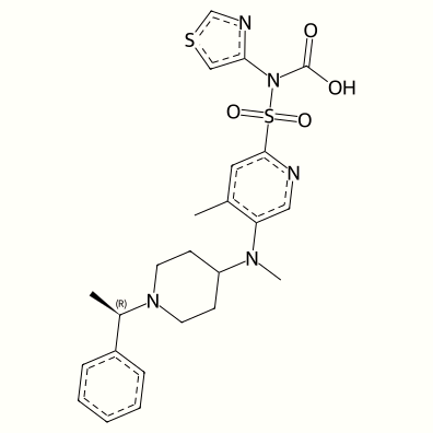 Cc1cc(S(=O)(=O)N(C(=O)O)c2cscn2)ncc1N(C)C1CCN([C@H](C)c2ccccc2)CC1